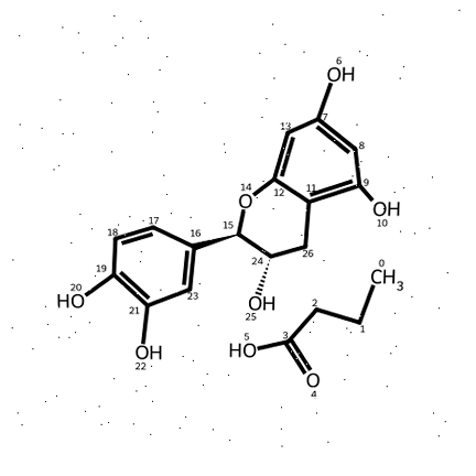 CCCC(=O)O.Oc1cc(O)c2c(c1)O[C@H](c1ccc(O)c(O)c1)[C@@H](O)C2